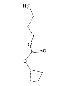 CCCCOC(=O)OC1CCC1